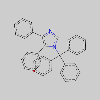 c1ccc(-c2ncn(C(c3ccccc3)(c3ccccc3)c3ccccc3)c2-c2ccccc2)cc1